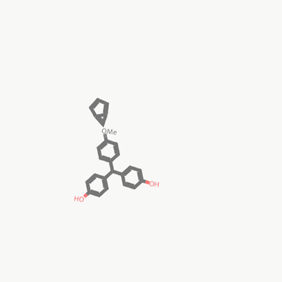 COc1ccc(C(c2ccc(O)cc2)c2ccc(O)cc2)cc1.c1cc2cc-2c1